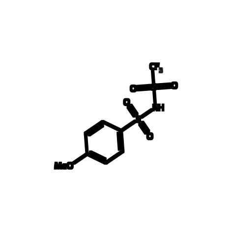 COc1ccc(S(=O)(=O)NS(=O)(=O)C(F)(F)F)cc1